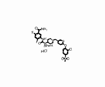 CCCCCN(C(=O)Nc1cc(C(N)=O)c(F)cc1F)C1CCN(Cc2ccc(Oc3ccc(S(C)(=O)=O)cc3Cl)nc2)CC1.Cl